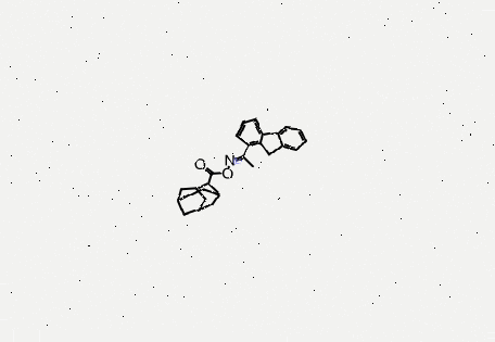 C/C(=N\OC(=O)C1C2CC3CC(C2)CC1C3)c1cccc2c1Cc1ccccc1-2